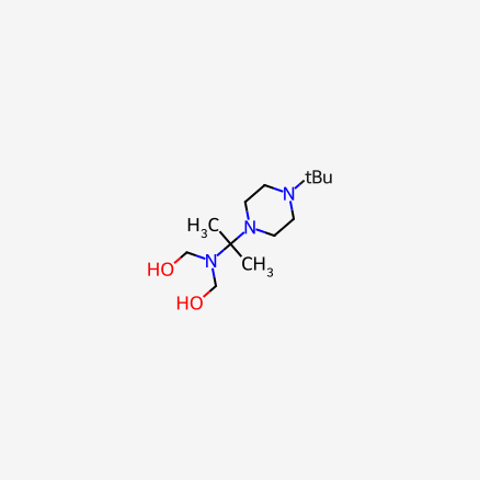 CC(C)(C)N1CCN(C(C)(C)N(CO)CO)CC1